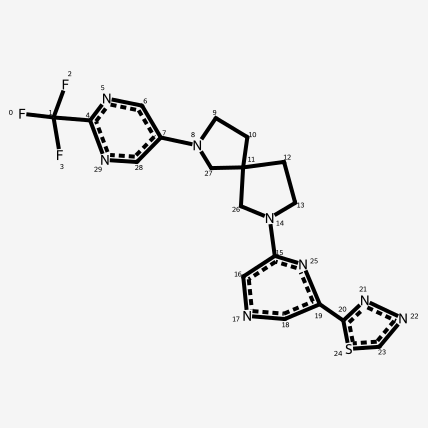 FC(F)(F)c1ncc(N2CCC3(CCN(c4cncc(-c5nncs5)n4)C3)C2)cn1